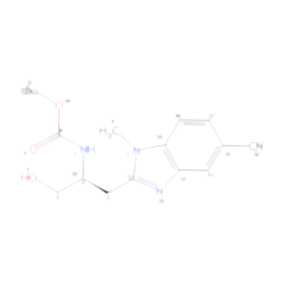 Cn1c(C[C@@H](CO)NC(=O)OC(C)(C)C)nc2cc(C#N)ccc21